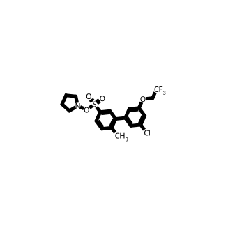 Cc1ccc(S(=O)(=O)ON2CCCC2)cc1-c1cc(Cl)cc(OCC(F)(F)F)c1